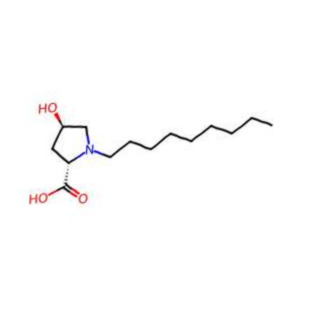 CCCCCCCCCN1C[C@H](O)C[C@H]1C(=O)O